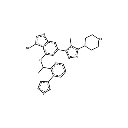 Cc1c(-c2cc(OC(C)c3ccccc3-c3ccsn3)n3c(C#N)cnc3c2)nnn1C1CCNCC1